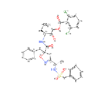 CC(C)[C@H](NS(=O)(=O)Cc1ccccc1)C1=NOC(Cc2ccccc2)(C(=O)N[C@@H](CC(=O)O)C(=O)COC(=O)c2c(Cl)cccc2Cl)C1